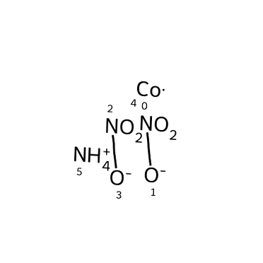 O=[N+]([O-])[O-].O=[N+]([O-])[O-].[Co].[NH4+]